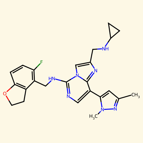 Cc1cc(-c2cnc(NCc3c(F)ccc4c3CCO4)n3cc(CNC4CC4)nc23)n(C)n1